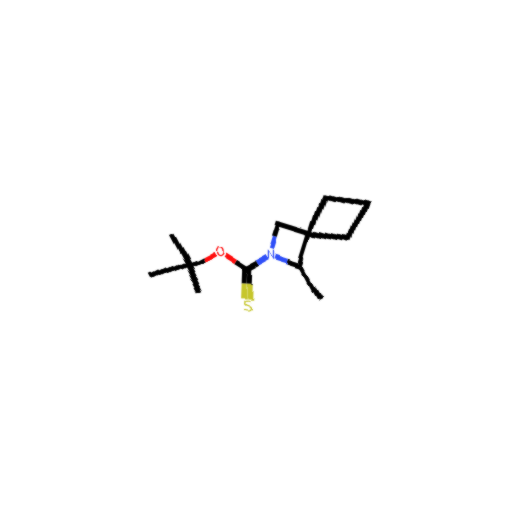 CC1N(C(=S)OC(C)(C)C)CC12CCC2